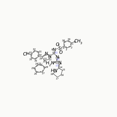 Cc1ccc(S(=O)(=O)\N=C(/N=C(N)/N=C2/CCCCN2)N2C[C@H](c3ccccc3)C(c3ccc(Cl)cc3)=N2)cc1